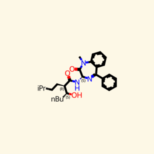 CCCC[C@H](O)[C@@H](CCC(C)C)C(=O)N[C@H]1N=C(c2ccccc2)c2ccccc2N(C)C1=O